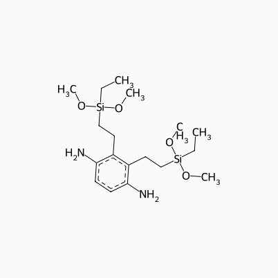 CC[Si](CCc1c(N)ccc(N)c1CC[Si](CC)(OC)OC)(OC)OC